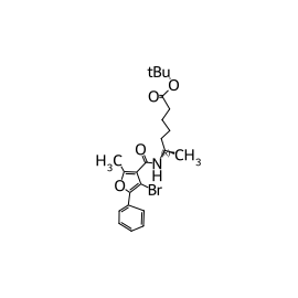 Cc1oc(-c2ccccc2)c(Br)c1C(=O)N[C@H](C)CCCCC(=O)OC(C)(C)C